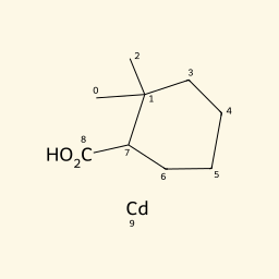 CC1(C)CCCCC1C(=O)O.[Cd]